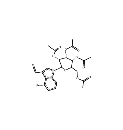 CC(=O)OCC1OC(n2cc(C=O)c3c(F)cccc32)[C@H](OC(C)=O)C(OC(C)=O)[C@@H]1OC(C)=O